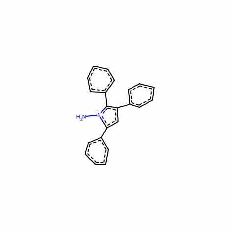 Nn1c(-c2ccccc2)cc(-c2ccccc2)c1-c1ccccc1